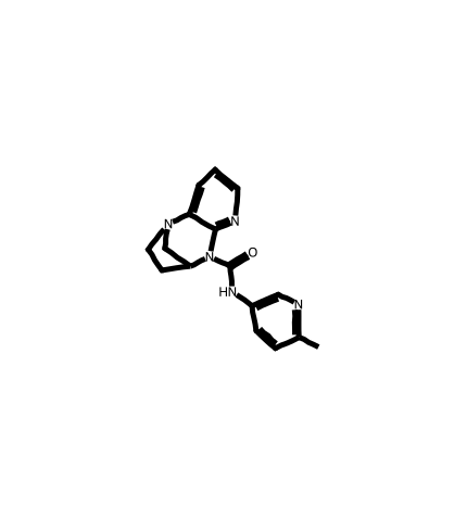 Cc1ccc(NC(=O)N2c3ncccc3N3CCC2C3)cn1